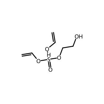 C=CO[SH](=O)(OC=C)OCCO